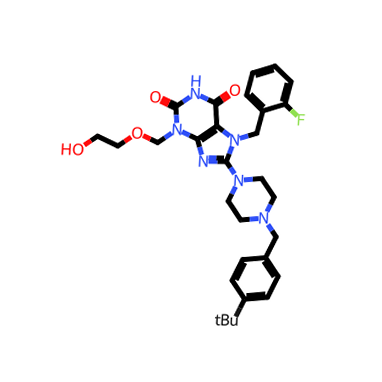 CC(C)(C)c1ccc(CN2CCN(c3nc4c(c(=O)[nH]c(=O)n4COCCO)n3Cc3ccccc3F)CC2)cc1